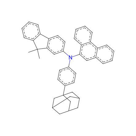 CC1(C)c2ccccc2-c2ccc(N(c3ccc(C45CC6CC(CC(C6)C4)C5)cc3)c3cc4ccccc4c4ccccc34)cc21